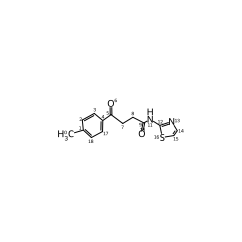 Cc1ccc(C(=O)CCC(=O)Nc2nccs2)cc1